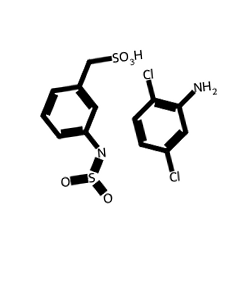 Nc1cc(Cl)ccc1Cl.O=S(=O)=Nc1cccc(CS(=O)(=O)O)c1